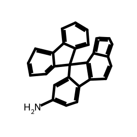 Nc1ccc2c(c1)C1(c3ccccc3-c3ccccc31)c1c-2ccc2ccccc12